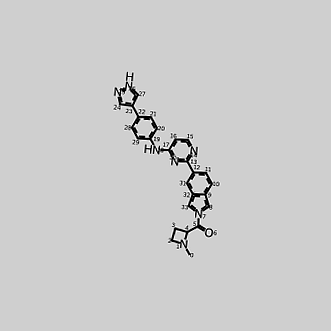 CN1CCC1C(=O)n1cc2ccc(-c3nccc(Nc4ccc(-c5cn[nH]c5)cc4)n3)cc2c1